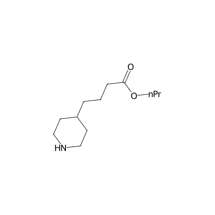 CCCOC(=O)CCCC1CCNCC1